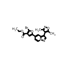 CCOC(=O)c1cc(-c2ccn3ncc(-c4c(C)noc4C)c3c2)oc1Br